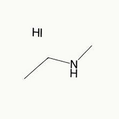 CCNC.I